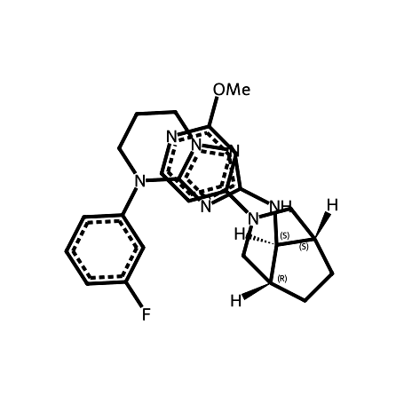 COc1cc(N2C[C@H]3CC[C@@H](C2)[C@@H]3Nc2nc3n(n2)CCCN3c2cccc(F)c2)ccn1